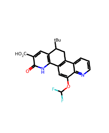 CC(C)(C)C1Cc2c(cc(OC(F)F)c3ncccc23)-c2[nH]c(=O)c(C(=O)O)cc21